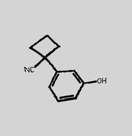 N#CC1(c2cccc(O)c2)CCC1